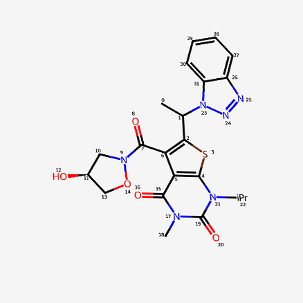 CC(c1sc2c(c1C(=O)N1C[C@H](O)CO1)c(=O)n(C)c(=O)n2C(C)C)n1nnc2ccccc21